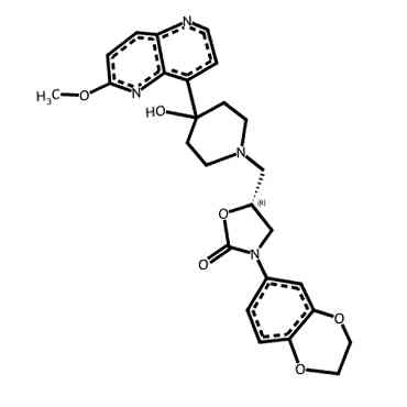 COc1ccc2nccc(C3(O)CCN(C[C@@H]4CN(c5ccc6c(c5)OCCO6)C(=O)O4)CC3)c2n1